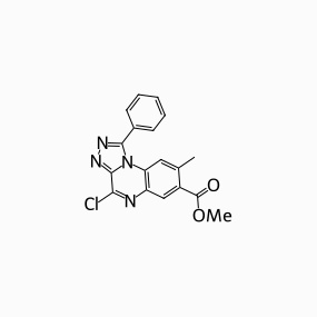 COC(=O)c1cc2nc(Cl)c3nnc(-c4ccccc4)n3c2cc1C